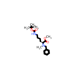 COC(=O)[C@H](CCCCNC(=O)OC(C)(C)C)N(C)Cc1ccccc1